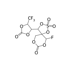 O=C1OC(C2OS(=O)(=O)OC23COC(=O)OC3F)C(C(F)(F)F)O1